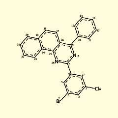 Clc1cc(Br)cc(-c2nc(-c3ccccc3)c3ccc4ccccc4c3n2)c1